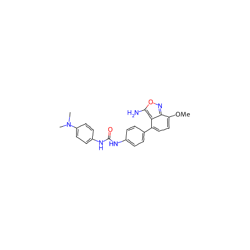 COc1ccc(-c2ccc(NC(=O)Nc3ccc(N(C)C)cc3)cc2)c2c(N)onc12